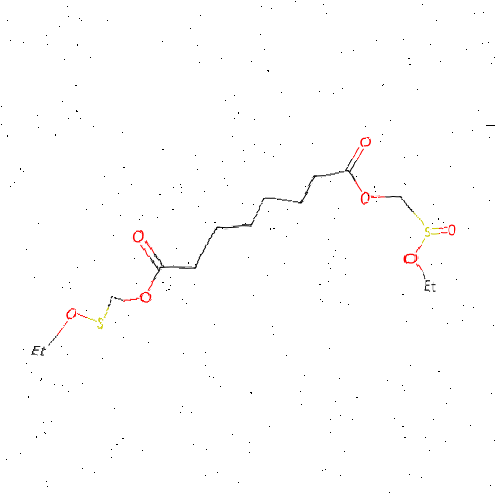 CCOSCOC(=O)CCCCCCC(=O)OCS(=O)OCC